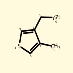 CCCCc1cscc1C